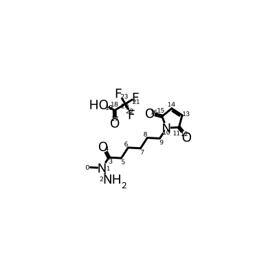 CN(N)C(=O)CCCCCN1C(=O)C=CC1=O.O=C(O)C(F)(F)F